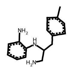 Cc1ccc(CC(CN)Nc2ccccc2N)cc1